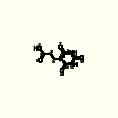 O=C(O)CCn1c(=O)[nH]c(=O)[nH]c1=O